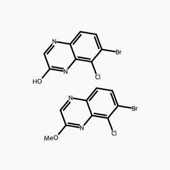 COc1cnc2ccc(Br)c(Cl)c2n1.Oc1cnc2ccc(Br)c(Cl)c2n1